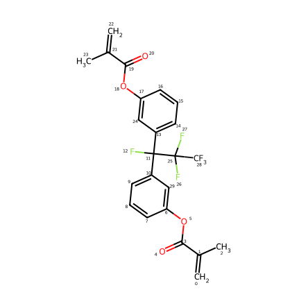 C=C(C)C(=O)Oc1cccc(C(F)(c2cccc(OC(=O)C(=C)C)c2)C(F)(F)C(F)(F)F)c1